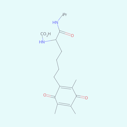 CC1=C(C)C(=O)C(CCCCC(NC(=O)O)C(=O)NC(C)C)=C(C)C1=O